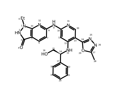 CCn1[nH]c(=O)c2ccc(Nc3cc(N[C@H](CO)c4ccccc4)c(-c4nnc(C)o4)cn3)nc21